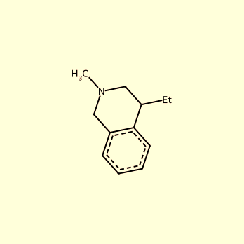 CCC1CN(C)Cc2ccccc21